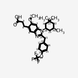 COc1cc2c(cc1CCC(=O)O)nc(Cc1ccc(OC(F)(F)F)cc1)n2[C@@H]1C[C@H](C)CC(C)(C)C1